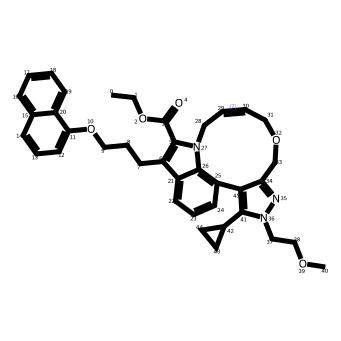 CCOC(=O)c1c(CCCOc2cccc3ccccc23)c2cccc3c2n1C/C=C\COCc1nn(CCOC)c(C2CC2)c1-3